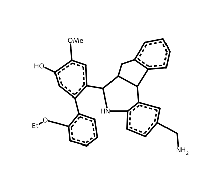 CCOc1ccccc1-c1cc(O)c(OC)cc1C1Nc2ccc(CN)cc2C2c3ccccc3CC12